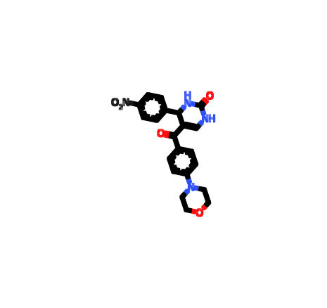 O=C1NC=C(C(=O)c2ccc(N3CCOCC3)cc2)C(c2ccc([N+](=O)[O-])cc2)N1